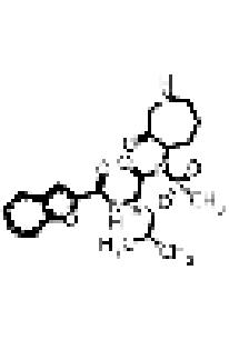 CC(C)C[C@H](NC(=O)c1cc2ccccc2o1)C(=O)N(C1CCCNCC1=O)S(C)(=O)=O